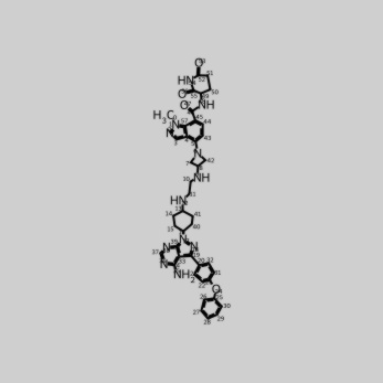 Cn1ncc2c(N3CC(NCCNC4CCC(n5nc(-c6ccc(Oc7ccccc7)cc6)c6c(N)ncnc65)CC4)C3)ccc(C(=O)NC3CCC(=O)NC3=O)c21